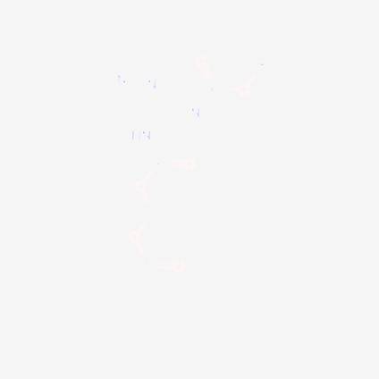 CCC(=O)OCOC(=O)NC(=NC(=O)OC(C)(C)C)n1cccn1